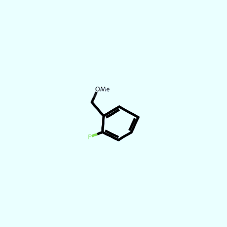 COCc1ccccc1F